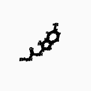 CCNC(=O)Nc1nc2ccc(CC)cc2[nH]1